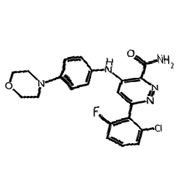 NC(=O)c1nnc(-c2c(F)cccc2Cl)cc1Nc1ccc(N2CCOCC2)cc1